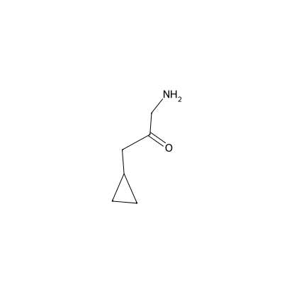 NCC(=O)CC1CC1